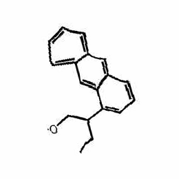 CCC(C[O])c1cccc2cc3ccccc3cc12